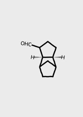 O=CC1CC[C@H]2C3CCC(C3)[C@@H]12